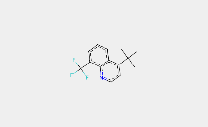 CC(C)(C)c1ccnc2c(C(F)(F)F)cccc12